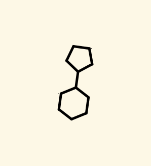 [CH]1CCC(C2[CH]CCCC2)C1